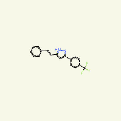 FC(F)(F)c1ccc(-c2cc(C=Cc3ccccc3)[nH]n2)cc1